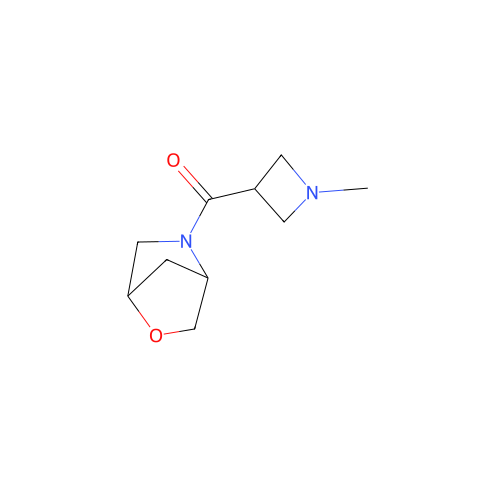 CN1CC(C(=O)N2CC3CC2CO3)C1